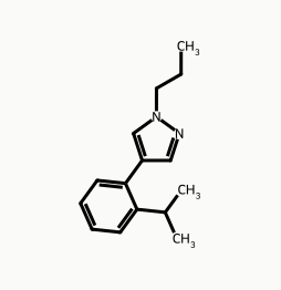 CCCn1cc(-c2ccccc2C(C)C)cn1